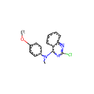 CCOc1ccc(N(C)c2nc(Cl)nc3ccccc23)cc1